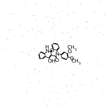 COc1ccc(N(C(=O)c2c(O)c3ccccc3[nH]c2=O)c2ccccc2)cc1OC